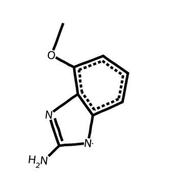 COc1cccc2c1N=C(N)[N]2